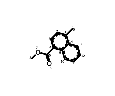 [CH2]c1ccc(C(=O)OC)c2ccccc12